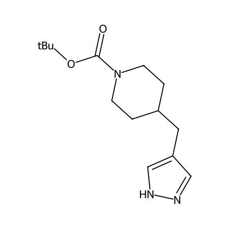 CC(C)(C)OC(=O)N1CCC(Cc2cn[nH]c2)CC1